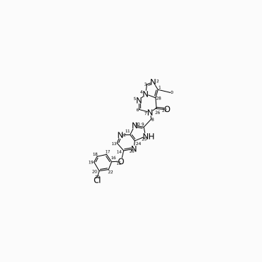 Cc1ncn2ncn(Cc3nc4ncc(Oc5cccc(Cl)c5)nc4[nH]3)c(=O)c12